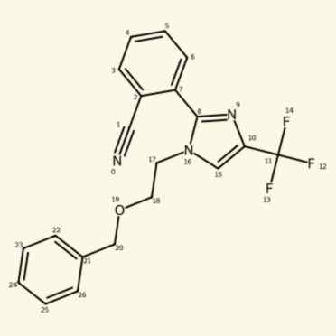 N#Cc1ccccc1-c1nc(C(F)(F)F)cn1CCOCc1ccccc1